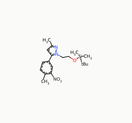 Cc1cc(-c2ccc(C)c([N+](=O)[O-])c2)n(CCO[Si](C)(C)C(C)(C)C)n1